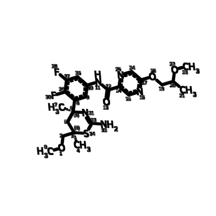 COC[C@@]1(C)C[C@@](C)(c2cc(NC(=O)c3cnc(OCC(C)OC)cn3)cc(F)c2F)N=C(N)S1